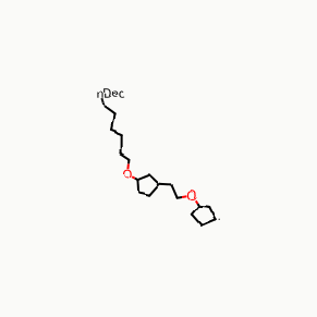 [CH2]CCCCCCCCCCCCCCCOC1CCC(CCOC2C[CH]CC2)C1